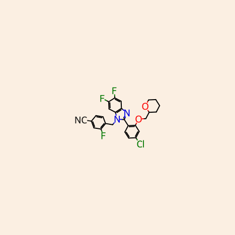 N#Cc1ccc(Cn2c(-c3ccc(Cl)cc3OCC3CCCCO3)nc3cc(F)c(F)cc32)c(F)c1